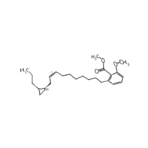 CCCC1C[C@@H]1C/C=C\CCCCCCCc1cccc(OC)c1C(=O)OC